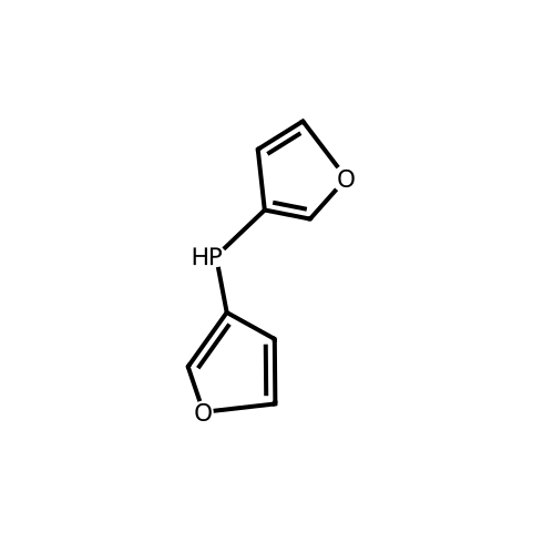 c1cc(Pc2ccoc2)co1